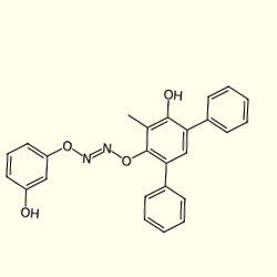 Cc1c(O)c(-c2ccccc2)cc(-c2ccccc2)c1ON=NOc1cccc(O)c1